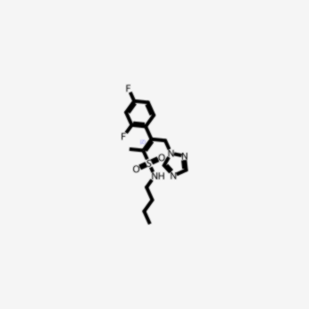 CCCCNS(=O)(=O)/C(C)=C(\Cn1cncn1)c1ccc(F)cc1F